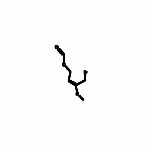 COC(=CCOC=O)CBr